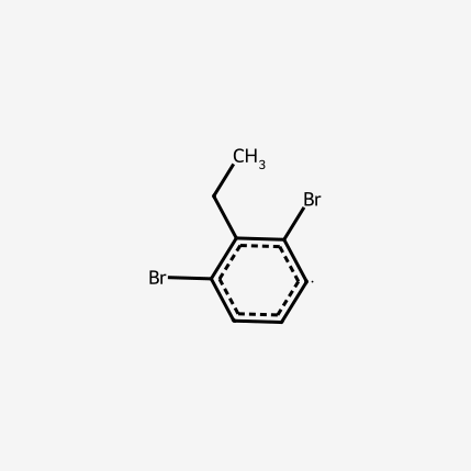 CCc1c(Br)[c]ccc1Br